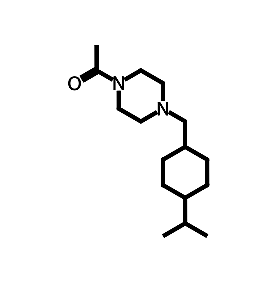 CC(=O)N1CCN(CC2CCC(C(C)C)CC2)CC1